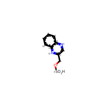 O=S(=O)(O)OCc1cnc2ccccc2n1